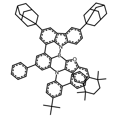 CC(C)(C)c1ccc(N2c3cc(-c4ccccc4)cc4c3B(c3oc5cc6c(cc5c32)C(C)(C)CCC6(C)C)n2c3ccc(C56CC7CC(CC(C7)C5)C6)cc3c3cc(C56CC7CC(CC(C7)C5)C6)cc-4c32)c(-c2ccccc2)c1